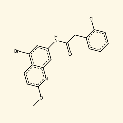 COc1ccc2c(Br)cc(NC(=O)Cc3ccccc3Cl)cc2n1